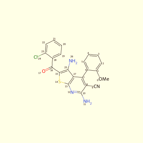 COc1ccccc1-c1c(C#N)c(N)nc2sc(C(=O)c3ccccc3Cl)c(N)c12